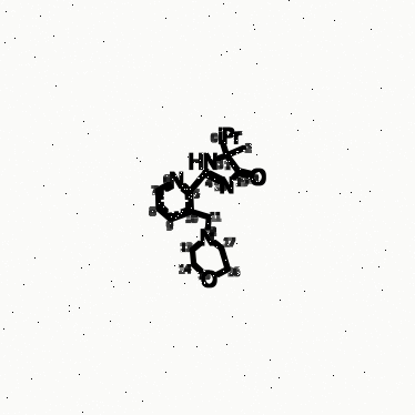 CC(C)C1(C)NC(c2ncccc2CN2CCOCC2)=NC1=O